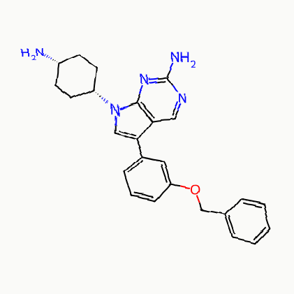 Nc1ncc2c(-c3cccc(OCc4ccccc4)c3)cn([C@H]3CC[C@@H](N)CC3)c2n1